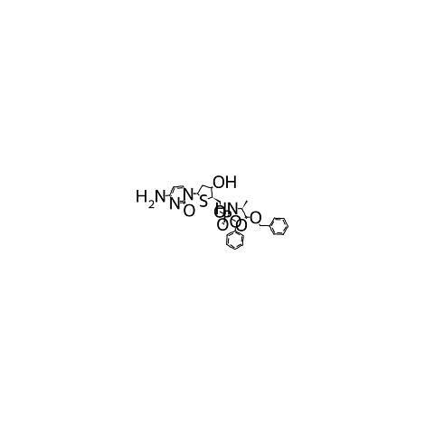 C[C@H](NP(=O)(OC[C@H]1S[C@@H](n2ccc(N)nc2=O)C[C@H]1O)Oc1ccccc1)C(=O)OCc1ccccc1